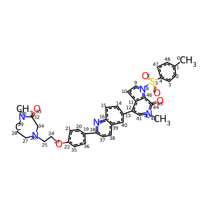 Cc1ccc(S(=O)(=O)n2ccc3c(-c4ccc5nc(-c6ccc(OCCN7CCCN(C)C(=O)C7)cc6)ccc5c4)cn(C)c(=O)c32)cc1